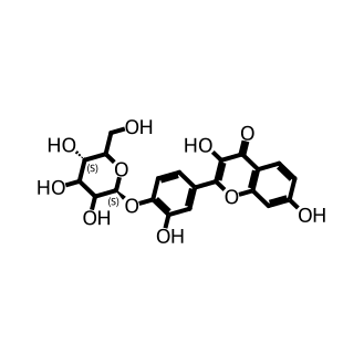 O=c1c(O)c(-c2ccc(O[C@@H]3OC(CO)[C@@H](O)C(O)C3O)c(O)c2)oc2cc(O)ccc12